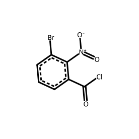 O=C(Cl)c1cccc(Br)c1[N+](=O)[O-]